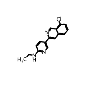 CCNc1ccc(-c2cc3cccc(Cl)c3cn2)cn1